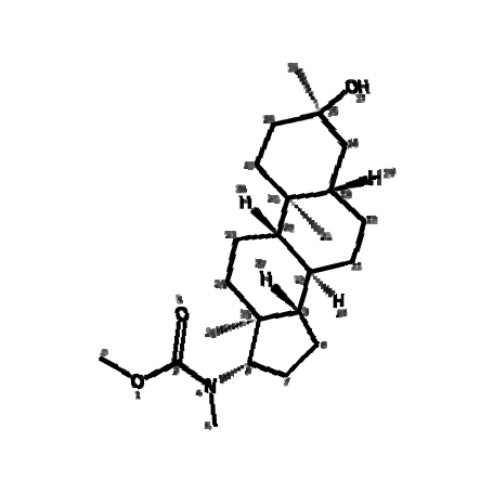 COC(=O)N(C)[C@H]1CC[C@H]2[C@@H]3CC[C@H]4C[C@](C)(O)CC[C@]4(C)[C@H]3CC[C@]12C